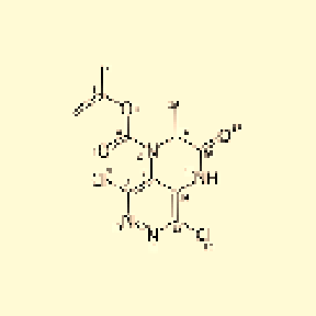 C=C(C)OC(=O)N1c2c(Cl)nnc(Cl)c2NC(=O)C1C